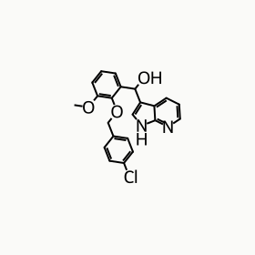 COc1cccc(C(O)c2c[nH]c3ncccc23)c1OCc1ccc(Cl)cc1